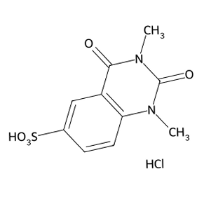 Cl.Cn1c(=O)c2cc(S(=O)(=O)O)ccc2n(C)c1=O